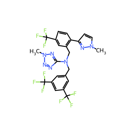 Cn1ccc(-c2ccc(C(F)(F)F)cc2CN(Cc2cc(C(F)(F)F)cc(C(F)(F)F)c2)c2nnn(C)n2)n1